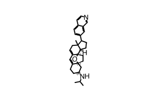 CC(C)N[C@@H]1CCC2=CC3=CCC4(C)C(c5ccc6ccncc6c5)CC[C@H]4[C@@]34CC[C@]2(C1)O4